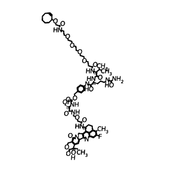 CC[C@@]1(O)C(=O)OCc2c1cc1n(c2=O)Cc2c-1nc1cc(F)c(C)c3c1c2[C@@H](NC(=O)COCNC(=O)[C@H](CO)NC(=O)OCc1ccc(NC(=O)[C@H](CCCNC(N)=O)NC(=O)[C@@H](NC(=O)CCOCCOCCOCCOCCNC(=O)COC2C#CCCCCC2)C(C)C)cc1)CC3